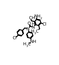 CCc1c(N)cc(Cl)c(CC)c1NC(=O)N(Cc1ccc(Cl)cc1)c1ccc(NC)cc1